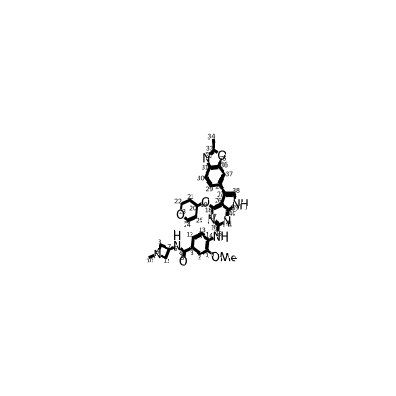 COc1cc(C(=O)NC2CN(C)C2)ccc1Nc1nc(OC2CCOCC2)c2c(-c3ccc4nc(C)oc4c3)c[nH]c2n1